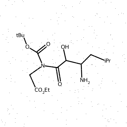 CCOC(=O)CN(C(=O)OC(C)(C)C)C(=O)C(O)C(N)CC(C)C